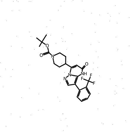 CC(C)(C)OC(=O)N1CCC(c2cc(=O)[nH]c3c(-c4ccccc4C(F)(F)F)cnn23)CC1